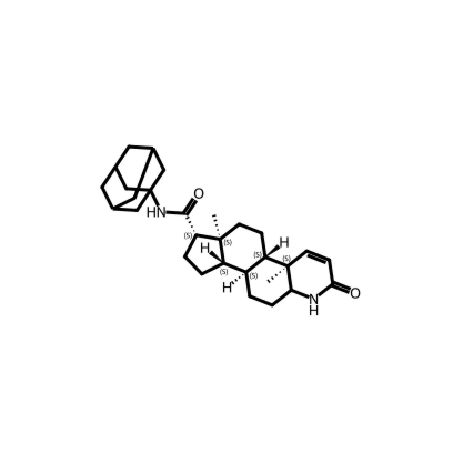 C[C@]12CC[C@H]3[C@@H](CCC4NC(=O)C=C[C@@]43C)[C@@H]1CC[C@@H]2C(=O)NC12CC3CC(CC(C3)C1)C2